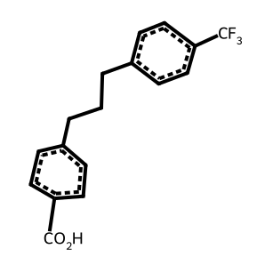 O=C(O)c1ccc(CCCc2ccc(C(F)(F)F)cc2)cc1